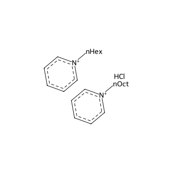 CCCCCCCC[n+]1ccccc1.CCCCCC[n+]1ccccc1.Cl